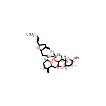 C=C1CC(/C=C/C(=O)OCC)OC1CC[C@H]1C[C@@H](C)C(=C)C(C[C@@H]2O[C@H]3C[C@@H](C)[C@@H](CCC)O[C@H]3[C@H](C)C2O[Si](CC)(CC)CC)O1